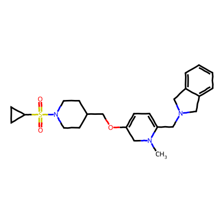 CN1CC(OCC2CCN(S(=O)(=O)C3CC3)CC2)=CC=C1CN1Cc2ccccc2C1